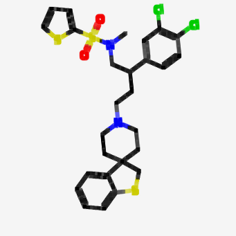 CN(CC(CCN1CCC2(CC1)CSc1ccccc12)c1ccc(Cl)c(Cl)c1)S(=O)(=O)c1cccs1